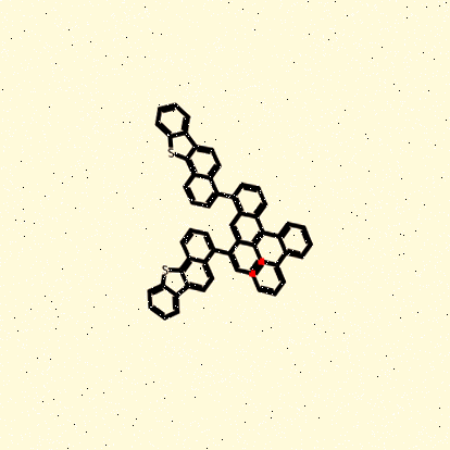 c1ccc(-c2ccccc2-c2c3cccc(-c4cccc5c4ccc4c6ccccc6sc54)c3cc3c(-c4cccc5c4ccc4c6ccccc6sc54)cccc23)cc1